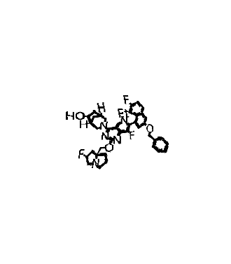 CCc1c(F)ccc2cc(OCc3ccccc3)cc(-c3ncc4c(N5C[C@@H]6C[C@H](C5)[C@H](O)C6)nc(OC[C@@]56CCCN5C[C@H](F)C6)nc4c3F)c12